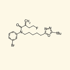 C=C(CCF)C(=O)N(CCCCCc1nnc(C(C)(C)C)o1)c1cccc(Br)c1